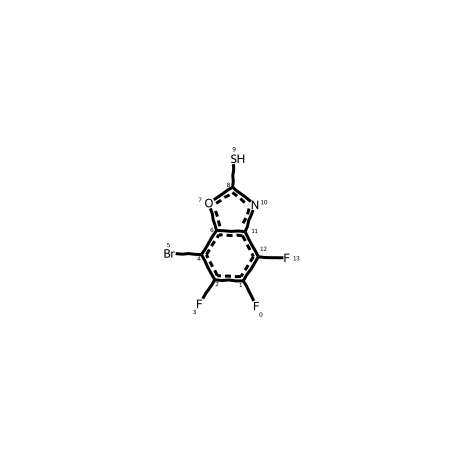 Fc1c(F)c(Br)c2oc(S)nc2c1F